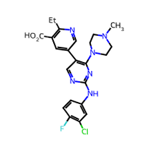 CCc1ncc(-c2cnc(Nc3ccc(F)c(Cl)c3)nc2N2CCN(C)CC2)cc1C(=O)O